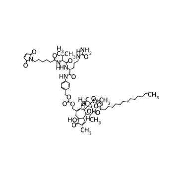 CCCCCCCCCCCCCC(=O)O[C@H]1[C@H](C)[C@]2(O)[C@H](C=C(COC(=O)OCc3ccc(NC(=O)[C@H](CCCNC(N)=O)NC(=O)[C@@H](NC(=O)CCCCCN4C(=O)C=CC4=O)C(C)C)cc3)C[C@@]3(O)C(=O)C(C)=C[C@H]23)[C@H]2C(C)(C)[C@@]12OC(C)=O